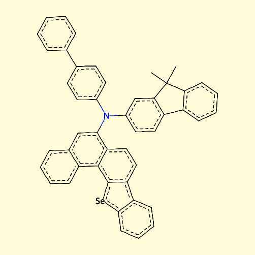 CC1(C)c2ccccc2-c2ccc(N(c3ccc(-c4ccccc4)cc3)c3cc4ccccc4c4c3ccc3c5ccccc5[se]c34)cc21